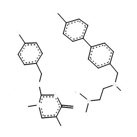 CCN(CC)CCN(C=O)Cc1ccc(-c2ccc(Cl)cc2)cc1.Cc1cn(C)c(SCc2ccc(F)cc2)nc1=O.Cl